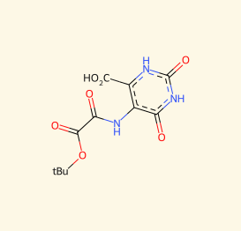 CC(C)(C)OC(=O)C(=O)Nc1c(C(=O)O)[nH]c(=O)[nH]c1=O